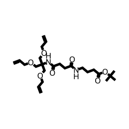 C=CCOCC(COCC=C)(COCC=C)NC(=O)CCC(=O)NCCCC(=O)OC(C)(C)C